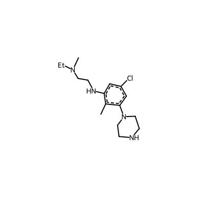 CCN(C)CCNc1cc(Cl)cc(N2CCNCC2)c1C